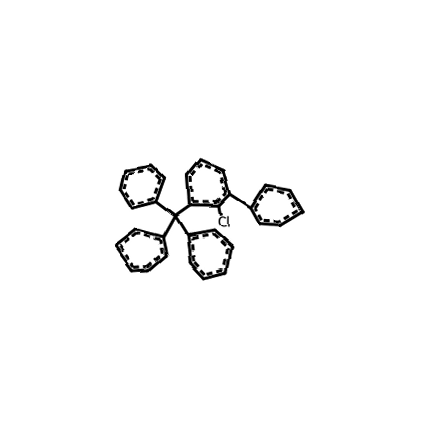 Clc1c(-c2ccccc2)cccc1C(c1ccccc1)(c1ccccc1)c1ccccc1